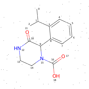 CC(C)c1ccccc1C1C(=O)NCCN1C(=O)O